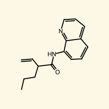 C=CC(CCC)C(=O)Nc1cccc2cccnc12